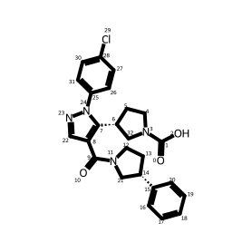 O=C(O)N1CC[C@@H](c2c(C(=O)N3CC[C@H](c4ccccc4)C3)cnn2-c2ccc(Cl)cc2)C1